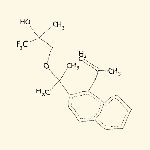 C=C(C)c1c(C(C)(C)OCC(C)(O)C(F)(F)F)ccc2ccccc12